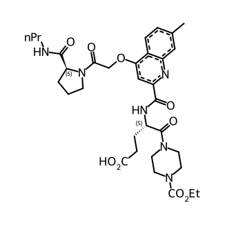 CCCNC(=O)[C@@H]1CCCN1C(=O)COc1cc(C(=O)N[C@@H](CCC(=O)O)C(=O)N2CCN(C(=O)OCC)CC2)nc2cc(C)ccc12